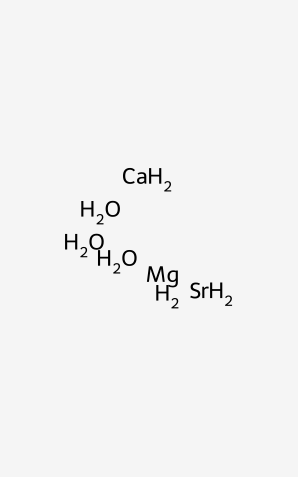 O.O.O.[CaH2].[MgH2].[SrH2]